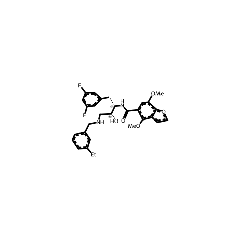 CCc1cccc(CNC[C@@H](O)[C@H](Cc2cc(F)cc(F)c2)NC(=O)c2cc(OC)c3occc3c2OC)c1